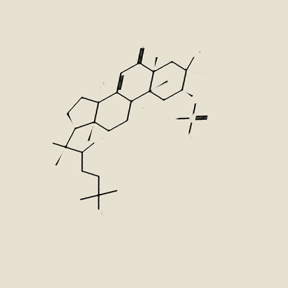 CC(=O)[C@@]1(O)C[C@H]2C(=O)C=C3[C@H](CC[C@]4(C)[C@@H]([C@@](C)(O)C(O)CCC(C)(C)O)CC[C@@]34O)[C@@]2(C)C[C@@H]1OP(=O)(O)O